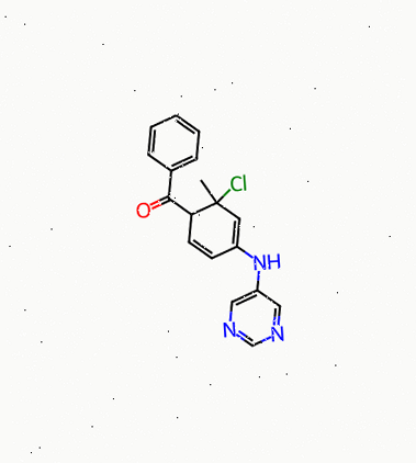 CC1(Cl)C=C(Nc2cncnc2)C=CC1C(=O)c1ccccc1